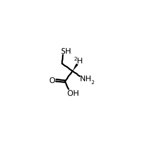 [2H][C@](N)(CS)C(=O)O